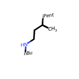 CCCCNCCC(C)C(C)CCC